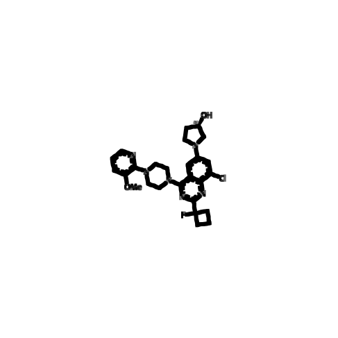 COc1cccnc1N1CCN(c2nc(C3(F)CCC3)nc3c(Cl)cc(N4CC[C@@H](O)C4)cc23)CC1